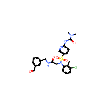 Cc1c(Cl)cccc1N(CC(=O)NCc1cccc(C=O)c1)S(=O)(=O)c1ccc(NC(=O)N(C)C)nc1